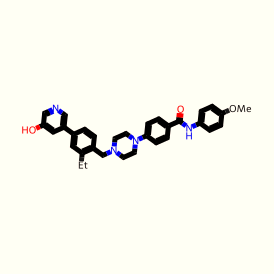 CCc1cc(-c2cncc(O)c2)ccc1CN1CCN(c2ccc(C(=O)Nc3ccc(OC)cc3)cc2)CC1